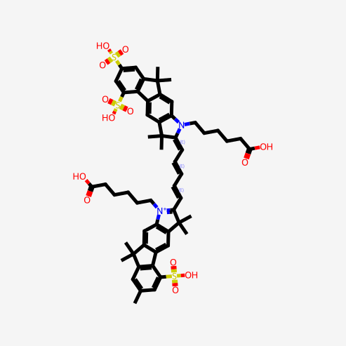 Cc1cc2c(c(S(=O)(=O)O)c1)-c1cc3c(cc1C2(C)C)[N+](CCCCCC(=O)O)=C(/C=C/C=C/C=C1/N(CCCCCC(=O)O)c2cc4c(cc2C1(C)C)-c1c(cc(S(=O)(=O)O)cc1S(=O)(=O)O)C4(C)C)C3(C)C